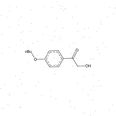 CCCCOc1ccc(C(=O)CO)cc1